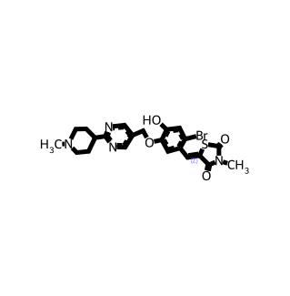 CN1CCC(c2ncc(COc3cc(/C=C4\SC(=O)N(C)C4=O)c(Br)cc3O)cn2)CC1